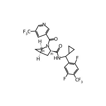 O=C(NC(c1cc(F)c(C(F)(F)F)cc1F)C1CC1)[C@H]1C[C@H]2C[C@H]2N1C(=O)c1cncc(C(F)(F)F)c1